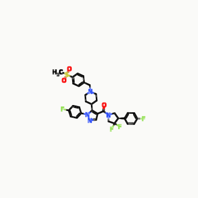 CS(=O)(=O)c1ccc(CN2CCC(c3c(C(=O)N4C[C@@H](c5ccc(F)cc5)C(F)(F)C4)cnn3-c3ccc(F)cc3)CC2)cc1